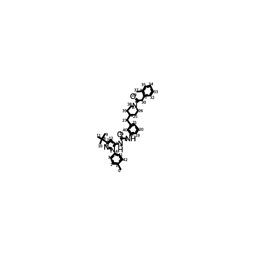 Cc1ccc(-n2nc(C(C)(C)C)cc2NC(=O)Nc2cccc(CC3CCN(C(=O)Cc4ccccc4C)CC3)c2)cc1